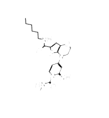 CCCCCCNC(=O)c1cc2c(s1)N(c1ccn(C(=O)NC)c(=N)c1)CCO2